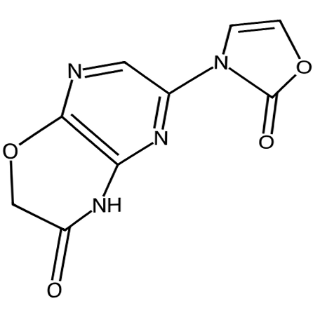 O=C1COc2ncc(-n3ccoc3=O)nc2N1